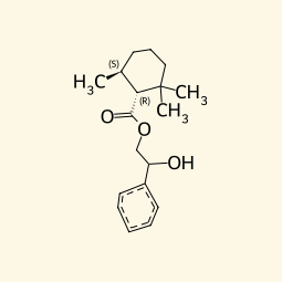 C[C@H]1CCCC(C)(C)[C@@H]1C(=O)OCC(O)c1ccccc1